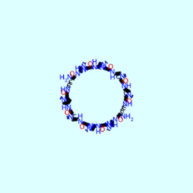 Cn1cc2cc1C(=O)NCC[C@@H](N)C(=O)Nc1cn(C)c(n1)C(=O)Nc1cn(C)c(n1)C(=O)Nc1cc(n(C)c1)C(=O)Nc1cc(n(C)c1)C(=O)NCC[C@@H](N)C(=O)Nc1cn(C)c(n1)C(=O)Nc1cn(C)c(n1)C(=O)Nc1cc(n(C)c1)C(=O)N2